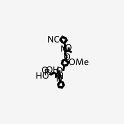 COc1cc(COc2nn(-c3ccccc3)cc2C=CP(=O)(O)O)ccc1OCc1nc(-c2cccc(C#N)c2)oc1C